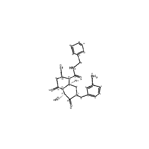 Bc1cccc(CN2C[C@H]3N(C(=O)CN(CC)N3C(=O)NCc3ccccc3)[C@@H](CCC)C2=O)c1